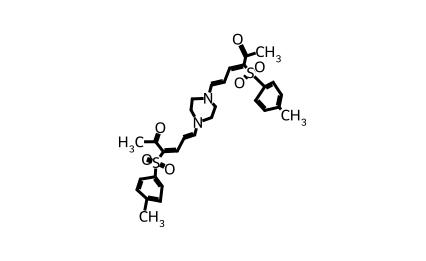 CC(=O)C(=CC=CN1CCN(C=C/C=C(\C(C)=O)S(=O)(=O)c2ccc(C)cc2)CC1)S(=O)(=O)c1ccc(C)cc1